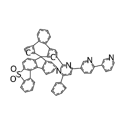 O=S1(=O)c2ccccc2-c2c1ccc1c2-c2ccccc2C12c1ccccc1-c1ccccc1-c1ccc(-c3nc(-c4ccccc4)cc(-c4ccc(-c5cccnc5)nc4)n3)cc12